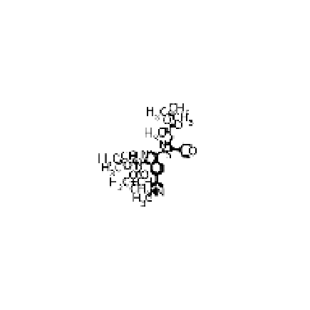 CN(Cc1nc(-c2cnc(N(C(=O)OC(C)(C)C)C(=O)OC(C)(C)C)c3cc(-c4cnn(C)c4)ccc23)sc1C1CCOCC1)C(=O)OC(C)(C)C